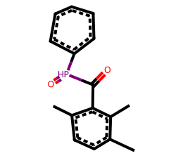 Cc1ccc(C)c(C(=O)[PH](=O)c2ccccc2)c1C